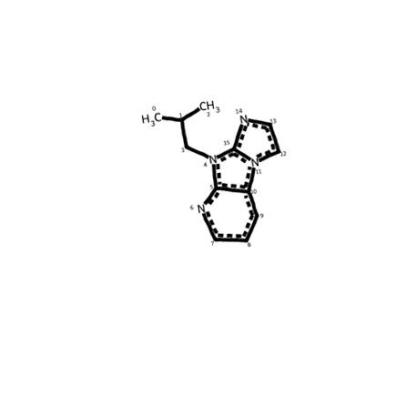 CC(C)Cn1c2ncccc2n2ccnc12